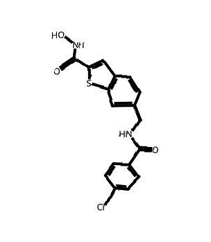 O=C(NCc1ccc2cc(C(=O)NO)sc2c1)c1ccc(Cl)cc1